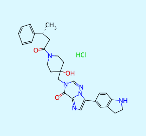 C[C@H](CC(=O)N1CCC(O)(Cn2cnn3c(-c4ccc5c(c4)CCN5)cnc3c2=O)CC1)c1ccccc1.Cl